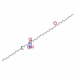 CCCCCCCCCCCCCCCCC(O)CNC(=O)CCCCCCCCCCCCCCCC(=O)CCCCCCCCCCC